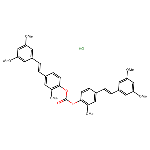 COc1cc(C=Cc2ccc(OC(=O)Oc3ccc(C=Cc4cc(OC)cc(OC)c4)cc3OC)c(OC)c2)cc(OC)c1.Cl